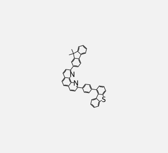 CC1(C)c2ccccc2-c2ccc(-c3ccc4ccc5ccc(-c6ccc(-c7cccc8sc9ccccc9c78)cc6)nc5c4n3)cc21